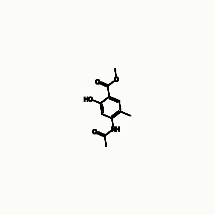 COC(=O)c1cc(C)c(NC(C)=O)cc1O